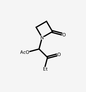 CCC(=O)C(OC(C)=O)N1CCC1=O